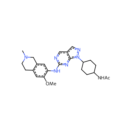 COc1cc2c(cc1Nc1ncc3cnn(C4CCC(NC(C)=O)CC4)c3n1)CN(C)CC2